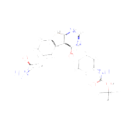 CC(C)(C)OC(=O)N[C@H]1CC[C@H](Oc2ncnc3sc4c(c23)C[C@H](CC(N)=O)CC4)CC1